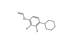 C=COc1ccc(C2CCCCC2)c(F)c1F